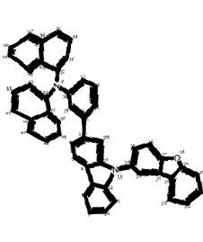 c1cc(-c2ccc3c4ccccc4n(-c4ccc5oc6ccccc6c5c4)c3c2)cc(N(c2cccc3ccccc23)c2cccc3ccccc23)c1